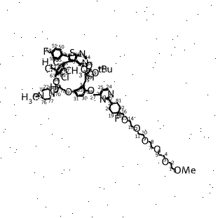 COCCOCCOCCOCCOCCOCC1(F)CCC(c2nccc(COc3ccc4cc3C[C@H](C(=O)OC(C)(C)C)Oc3ncnc5sc(-c6ccc(F)cc6)c(c35)-c3c(C)c(Cl)c(c(Cl)c3C)O[C@H](CN3CCN(C)CC3)CO4)n2)CC1